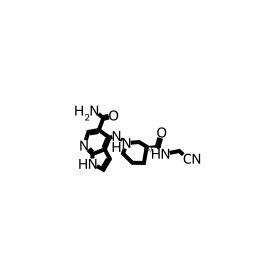 N#CCNC(=O)[C@H]1CCCN(Nc2c(C(N)=O)cnc3[nH]ccc23)C1